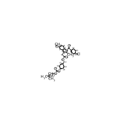 COc1ccc2c(c1)c(CC(=O)OCc1ccc(OC(=O)OCCC(C)(C)C)cc1)c(C)n2C(=O)c1ccc(Cl)cc1